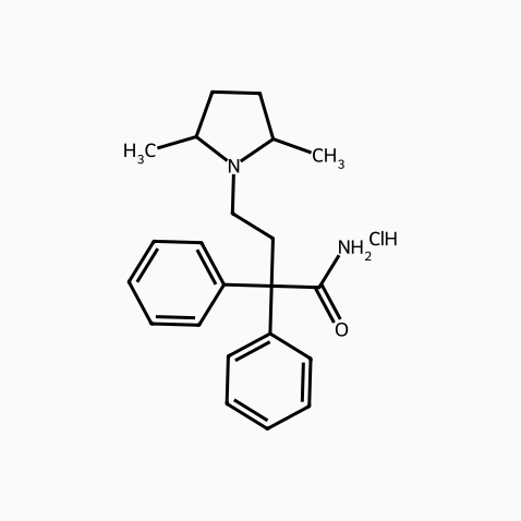 CC1CCC(C)N1CCC(C(N)=O)(c1ccccc1)c1ccccc1.Cl